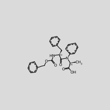 C[C@@H](C(=O)O)N(C(=O)[C@H](Cc1ccccc1)NC(=O)OCc1ccccc1)c1ccccc1